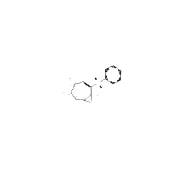 C[C@@H]1[C@H](O)[C@@H](C)C=C(S(=O)(=O)c2ccccc2)[C@H]2O[C@@H]12